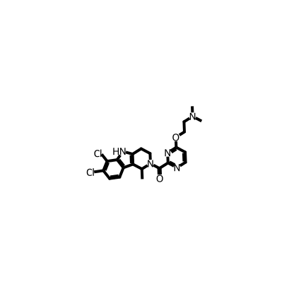 CC1c2c([nH]c3c(Cl)c(Cl)ccc23)CCN1C(=O)c1nccc(OCCN(C)C)n1